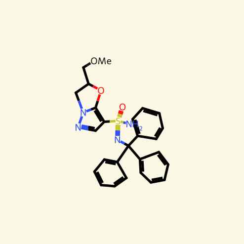 COCC1Cn2ncc(S(N)(=O)=NC(c3ccccc3)(c3ccccc3)c3ccccc3)c2O1